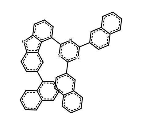 c1ccc2cc(-c3nc(-c4ccc5ccccc5c4)nc(-c4cccc5oc6ccc(-c7cccc8ccccc78)cc6c45)n3)ccc2c1